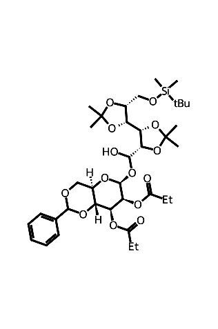 CCC(=O)O[C@@H]1[C@H](OC(=O)CC)[C@H](OC(O)[C@H]2OC(C)(C)O[C@H]2[C@@H]2OC(C)(C)O[C@@H]2CO[Si](C)(C)C(C)(C)C)O[C@@H]2COC(c3ccccc3)O[C@@H]12